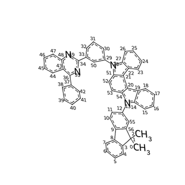 CC1(C)c2ccccc2-c2ccc(-n3c4ccccc4c4c5c6ccccc6n(-c6cccc(-c7nc(-c8ccccc8)c8ccccc8n7)c6)c5ccc43)cc21